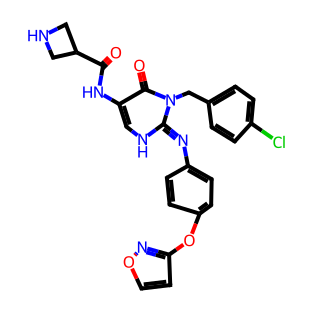 O=C(Nc1c[nH]/c(=N\c2ccc(Oc3ccon3)cc2)n(Cc2ccc(Cl)cc2)c1=O)C1CNC1